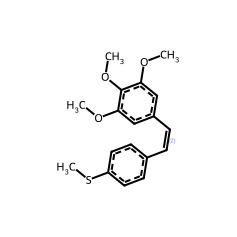 COc1cc(/C=C\c2ccc(SC)cc2)cc(OC)c1OC